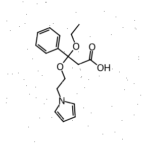 CCOC(CC(=O)O)(OCCn1cccc1)c1ccccc1